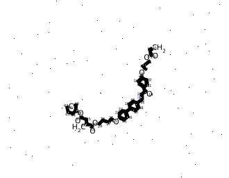 C=CC(=O)OCCCOc1ccc(C(=O)/C=C/c2ccc(-c3ccc(OCCCCOC(=O)C(=C)CC(=O)OC4CCCCC4)cc3)cc2)cc1